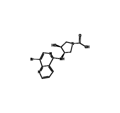 O=C(O)N1C[C@H](O)[C@H](Nc2ncc(Br)c3ncccc23)C1